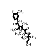 Cc1cc(NC(=O)c2c(C)c(C(=O)C(=O)NC(C)(C)CCO)n(C)c2C)ccc1F